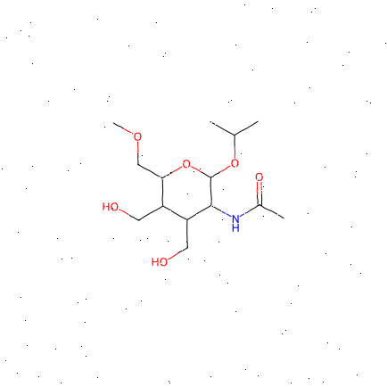 COCC1OC(OC(C)C)C(NC(C)=O)C(CO)C1CO